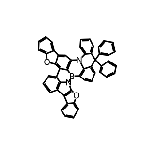 c1ccc(C2(c3ccccc3)c3ccccc3N3c4cc5c(oc6ccccc65)c5c4B(c4cccc2c43)n2c3oc4ccccc4c3c3cccc-5c32)cc1